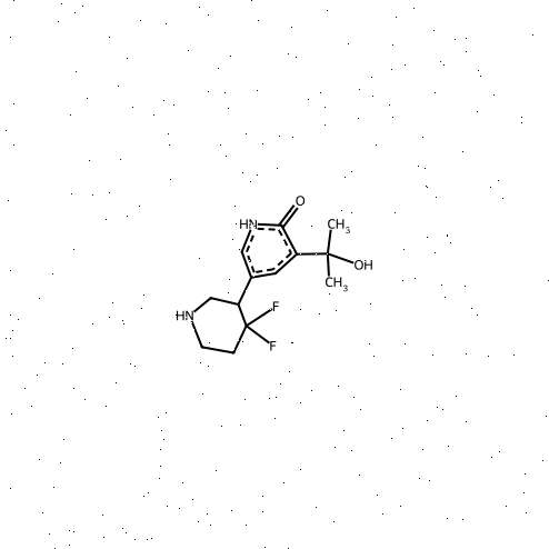 CC(C)(O)c1cc(C2CNCCC2(F)F)c[nH]c1=O